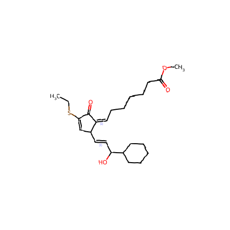 CCSC1=CC(/C=C/C(O)C2CCCCC2)/C(=C/CCCCCC(=O)OC)C1=O